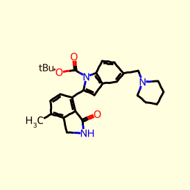 Cc1ccc(-c2cc3cc(CN4CCCCC4)ccc3n2C(=O)OC(C)(C)C)c2c1CNC2=O